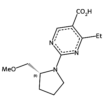 CCc1nc(N2CCC[C@@H]2COC)ncc1C(=O)O